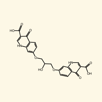 O=C(O)c1c[nH]c2cc(OCC(O)COc3ccc4c(=O)c(C(=O)O)c[nH]c4c3)ccc2c1=O